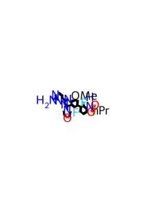 CCCS(=O)(=O)Nc1ccc(F)c(-c2cc(OC)c3nc(-c4ccnc(N)n4)nc(N4CCOCC4)c3c2)c1F